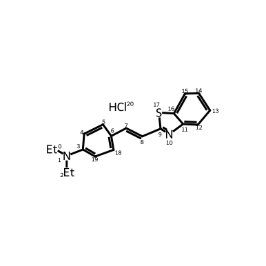 CCN(CC)c1ccc(C=Cc2nc3ccccc3s2)cc1.Cl